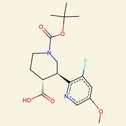 COc1cnc([C@@H]2CN(C(=O)OC(C)(C)C)CC[C@H]2C(=O)O)c(F)c1